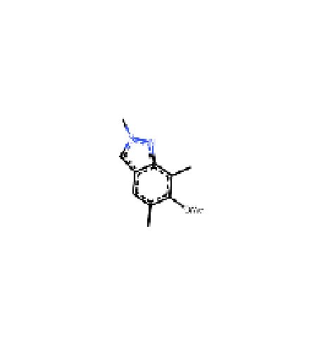 COc1c(C)cc2cn(C)nc2c1C